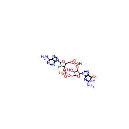 Nc1nc2c(ncn2C2OC3CO[P@](=O)(S)OC4C(CO[P@](=O)(S)OC2C3O)OC(n2cnc3c(N)ncnc32)C4F)c(=O)[nH]1